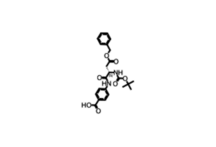 CC(C)(C)OC(=O)N[C@@H](CC(=O)OCc1ccccc1)C(=O)Nc1ccc(C(=O)O)cc1